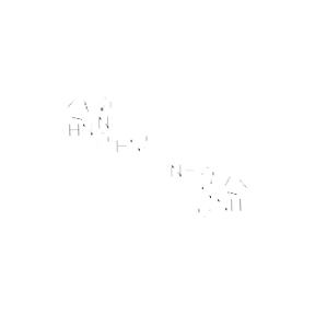 O=C(CCCNCCCn1c(=O)[nH]c2ccccc2c1=O)NCCCn1c(=O)[nH]c2ccccc2c1=O